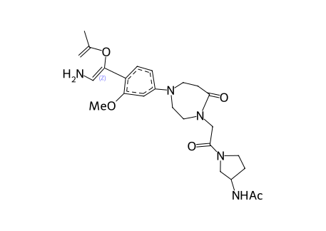 C=C(C)O/C(=C\N)c1ccc(N2CCC(=O)N(CC(=O)N3CCC(NC(C)=O)C3)CC2)cc1OC